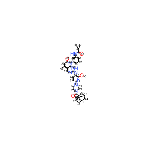 COc1nc(N2CCN(C(=O)C34CC5CC(CC(C5)C3)C4)CC2)ccc1Nc1ncc2c(C)cc(=O)n(-c3cccc(NC(=O)C4CC4)c3)c2n1